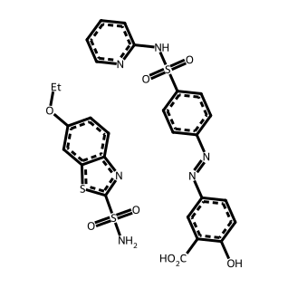 CCOc1ccc2nc(S(N)(=O)=O)sc2c1.O=C(O)c1cc(N=Nc2ccc(S(=O)(=O)Nc3ccccn3)cc2)ccc1O